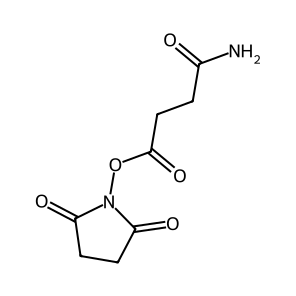 NC(=O)CCC(=O)ON1C(=O)CCC1=O